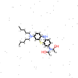 CCCCCN(CCCCC)c1ccc2c(c1)Sc1cc(N(C(C)O)C(C)O)ccc1N2